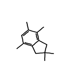 Cc1cc(C)c2c(c1C)CC(C)(C)C2